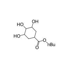 CCCCOC(=O)C1CC(O)C(O)C(O)C1